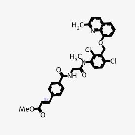 COC(=O)/C=C/c1ccc(C(=O)NCC(=O)N(C)c2ccc(Cl)c(COc3cccc4ccc(C)nc34)c2Cl)cc1